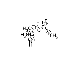 Cc1ccc(NC(=O)c2cc(N3CCN(C)CC3)cc(C(F)(F)F)c2)cc1-c1cc2cnc3[nH]ccc3c2n(C)c1=O